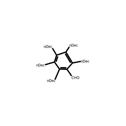 CCCCCCCCCCc1c(C=O)c(CCCCCCCCCC)c(CCCCCCCCCC)c(CCCCCCCCCC)c1CCCCCCCCCC